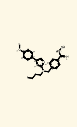 CCCCN(Cc1ccc(C(=N)NO)cc1)c1nc(-c2ccc(OC)cc2)cs1